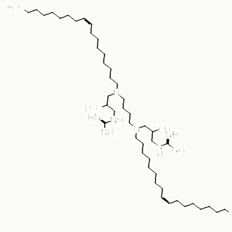 CCCCCCCC/C=C\CCCCCCCCN(CCCCN(CCCCCCCC/C=C\CCCCCCCC)CC(C)CNC(=N)N)CC(C)CNC(=N)N